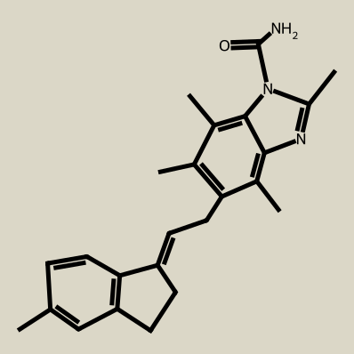 Cc1ccc2c(c1)CCC2=CCc1c(C)c(C)c2c(nc(C)n2C(N)=O)c1C